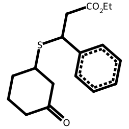 CCOC(=O)CC(SC1CCCC(=O)C1)c1ccccc1